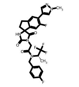 C[C@H](N(Cc1ccc(F)cc1)C(=O)CN1C(=O)NC2(CCc3cc(-c4cnn(C)c4)c(F)cc32)C1=O)C(F)(F)F